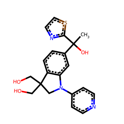 CC(O)(c1ccc2c(c1)N(c1ccncc1)CC2(CO)CO)c1nccs1